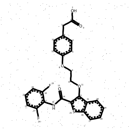 O=C(O)Cc1ccc(OCCOc2c(C(=O)Nc3c(F)cccc3F)sc3ccccc23)cc1